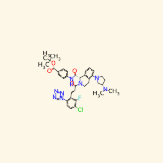 CN(C)[C@H]1CCN(c2cccc3c2CCN(C(=O)C=Cc2c(-n4cnnn4)ccc(Cl)c2F)[C@@H]3C(=O)Nc2ccc(C(=O)OC(C)(C)C)cc2)C1